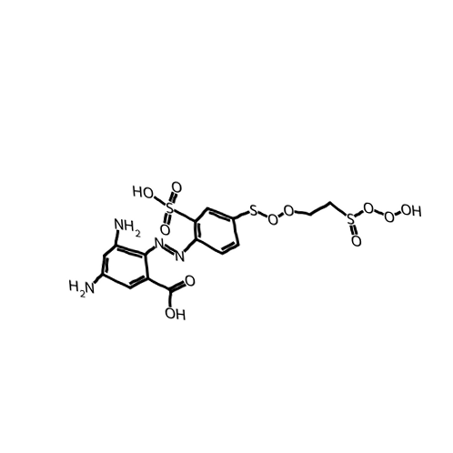 Nc1cc(N)c(N=Nc2ccc(SOOCCS(=O)OOO)cc2S(=O)(=O)O)c(C(=O)O)c1